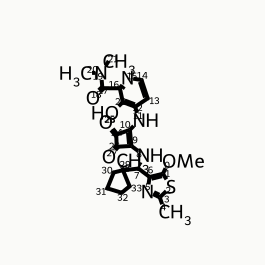 COc1sc(C)nc1[C@H](Nc1c(Nc2ccnc(C(=O)N(C)C)c2O)c(=O)c1=O)C1(C)CCCC1